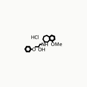 COc1cccc2c1CC(NC[C@H](O)COc1ccccc1)CCC2.Cl